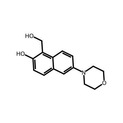 OCc1c(O)ccc2cc(N3CCOCC3)ccc12